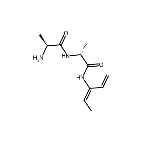 C=C/C(=C\C)NC(=O)[C@@H](C)NC(=O)[C@H](C)N